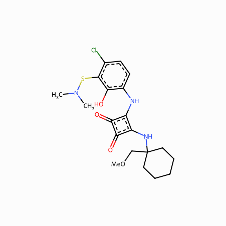 COCC1(Nc2c(Nc3ccc(Cl)c(SN(C)C)c3O)c(=O)c2=O)CCCCC1